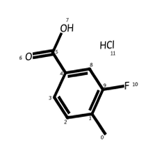 Cc1ccc(C(=O)O)cc1F.Cl